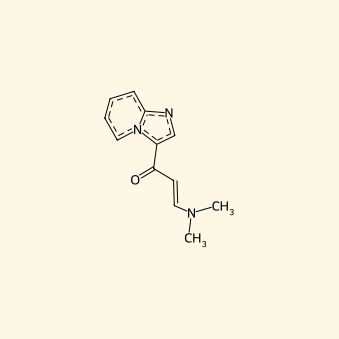 CN(C)C=CC(=O)c1cnc2ccccn12